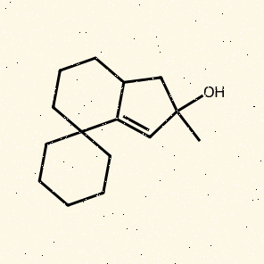 CC1(O)C=C2C(CCCC23CCCCC3)C1